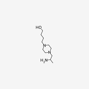 CC(N)CN1CCN(CCCCO)CC1